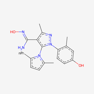 CCCc1ccc(C)n1-c1c(/C(N)=N/O)c(C)nn1-c1ccc(O)cc1C